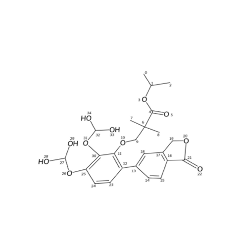 CC(C)OC(=O)C(C)(C)COc1c(-c2ccc3c(c2)COC3=O)ccc(OC(O)O)c1OC(O)O